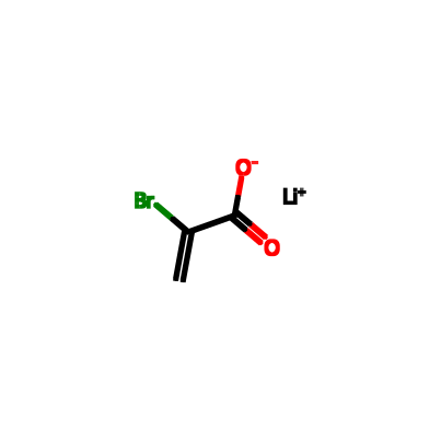 C=C(Br)C(=O)[O-].[Li+]